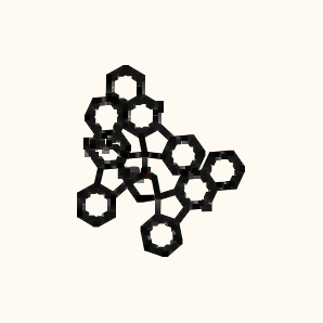 CCOC(=O)CC1(CC2(C[C@]3(CC(=O)OCC)c4ccccc4-c4nc5ccccc5cc43)c3ccccc3-c3nc4ccccc4cc32)c2ccccc2-c2nc3ccccc3cc21